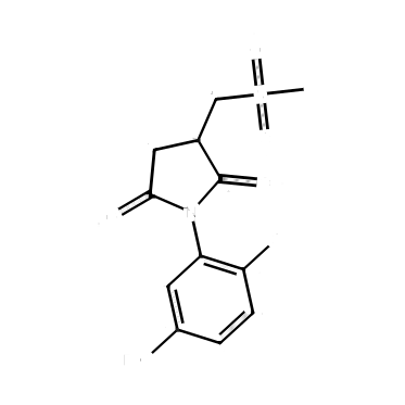 CS(=O)(=O)CC1CC(=O)N(c2cc(C(F)(F)F)ccc2Cl)C1=O